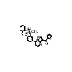 CN(c1cccc(-c2ccnc3c(C(=O)c4cccs4)cnn23)c1)S(=O)(=O)C1=CC=CCC1=S